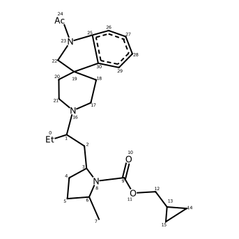 CCC(CC1CCC(C)N1C(=O)OCC1CC1)N1CCC2(CC1)CN(C(C)=O)c1ccccc12